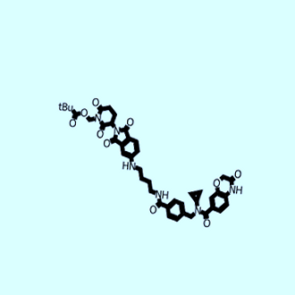 CC(C)(C)C(=O)OCN1C(=O)CCC(N2C(=O)c3ccc(NCCCCNC(=O)c4ccc(CN(C(=O)c5ccc6c(c5)OCC(=O)N6)C5CC5)cc4)cc3C2=O)C1=O